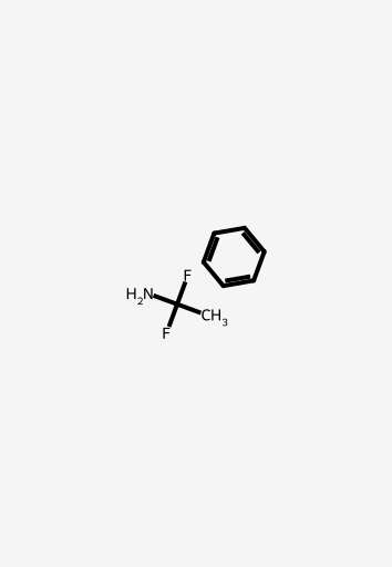 CC(N)(F)F.c1ccccc1